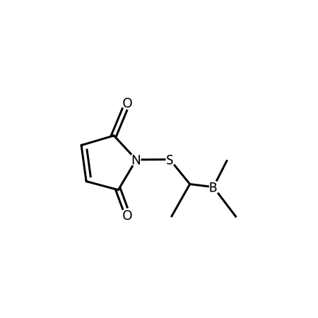 CB(C)C(C)SN1C(=O)C=CC1=O